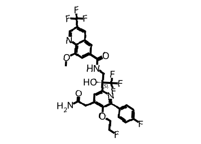 COc1cc(C(=O)NC[C@](O)(c2cc(CC(N)=O)c(OCCF)c(-c3ccc(F)cc3)n2)C(F)(F)F)cc2cc(C(F)(F)F)cnc12